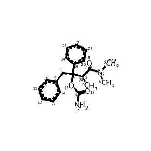 C[C@H](C(=O)N(C)C)C(Cc1ccccc1)(OC(N)=O)c1ccccc1